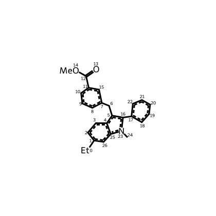 CCc1ccc2c(Cc3cccc(C(=O)OC)c3)c(-c3ccccc3)n(C)c2c1